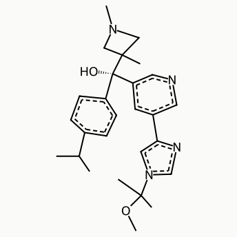 COC(C)(C)n1cnc(-c2cncc([C@@](O)(c3ccc(C(C)C)cc3)C3(C)CN(C)C3)c2)c1